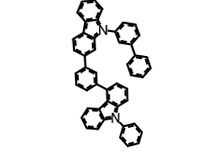 c1ccc(-c2cccc(-n3c4ccccc4c4ccc(-c5cccc(-c6cccc7c6c6ccccc6n7-c6ccccc6)c5)cc43)c2)cc1